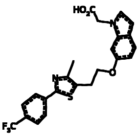 Cc1nc(-c2ccc(C(F)(F)F)cc2)sc1CCOc1ccc2ccn(CC(=O)O)c2c1